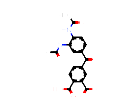 CC(=O)Nc1ccc(C(=O)c2ccc(C(=O)O)c(C(=O)O)c2)cc1NC(C)=O